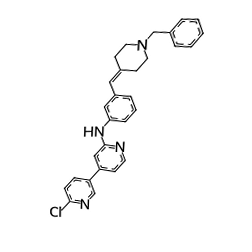 Clc1ccc(-c2ccnc(Nc3cccc(C=C4CCN(Cc5ccccc5)CC4)c3)c2)cn1